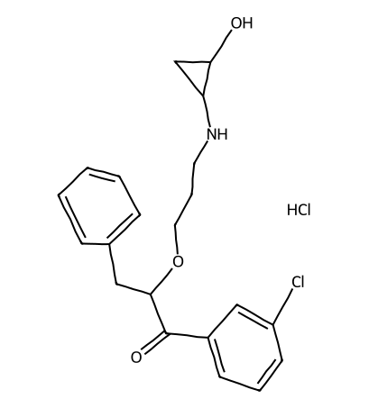 Cl.O=C(c1cccc(Cl)c1)C(Cc1ccccc1)OCCCNC1CC1O